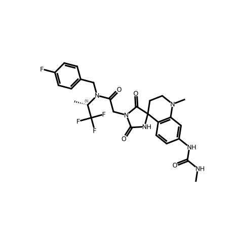 CNC(=O)Nc1ccc2c(c1)N(C)CCC21NC(=O)N(CC(=O)N(Cc2ccc(F)cc2)[C@@H](C)C(F)(F)F)C1=O